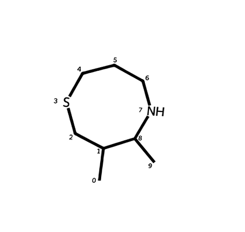 CC1CSCCCNC1C